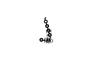 CCC1CCC(c2ccc(-c3cnc(-c4ccc(C[C@H](NC(=O)OCc5ccccc5)C(=O)O)cc4)nc3)cc2)CC1